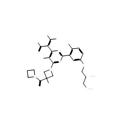 CCC1(C(=O)N2CCC2)CN(c2nc(-c3cc(OC[C@H](O)CNC)ccc3Cl)nc(/C(C(C)=N)=C(\C)O)c2C)C1